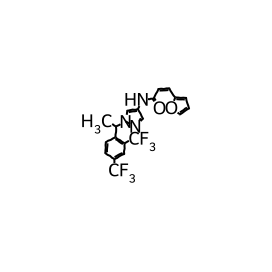 CC(c1ccc(C(F)(F)F)cc1C(F)(F)F)n1cc(NC(=O)/C=C\c2ccco2)cn1